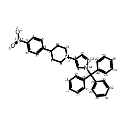 O=[N+]([O-])c1ccc(C2CCN(c3cnn(C(c4ccccc4)(c4ccccc4)c4ccccc4)c3)CC2)cc1